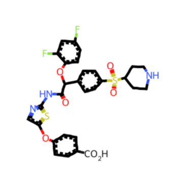 O=C(O)c1ccc(Oc2cnc(NC(=O)C(Oc3ccc(F)cc3F)c3ccc(S(=O)(=O)C4CCNCC4)cc3)s2)cc1